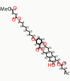 COC(=O)CCC(=O)OCCCCCCCCOc1ccc(OCCCCCCCCOC(=O)CCC(C)=O)c(C(=O)OCCCCCCO)c1